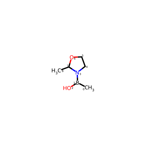 CB(O)N1CCOC1C